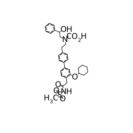 CS(=O)(=O)NC(=O)Cc1ccc(-c2ccc(CCN(C[C@H](O)c3ccccc3)C(=O)O)cc2)cc1OC1CCCCC1